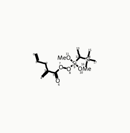 C=CCC(=C)C(=O)OO[Si](OC)(OC)C(C)[Si](C)(C)C